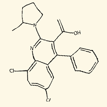 C=C(O)c1c(N2CCCC2C)nc2c(Cl)cc(Cl)cc2c1-c1ccccc1